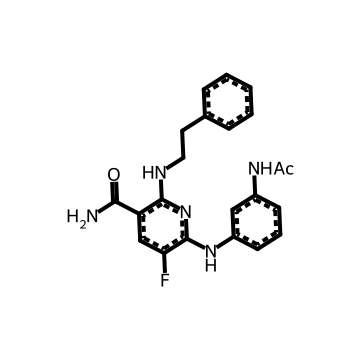 CC(=O)Nc1cccc(Nc2nc(NCCc3ccccc3)c(C(N)=O)cc2F)c1